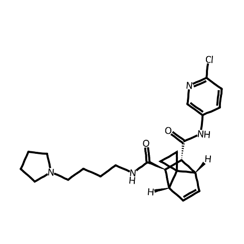 O=C(NCCCCN1CCCC1)[C@H]1[C@H](C(=O)Nc2ccc(Cl)nc2)[C@@H]2C=C[C@H]1C21CC1